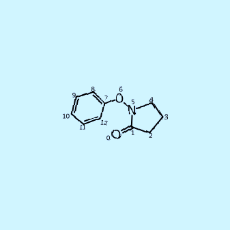 O=C1CCCN1Oc1ccccc1